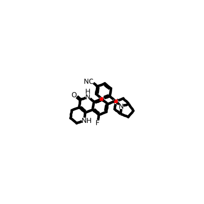 N#Cc1ccc(N2CC3CCC(C2)N3Cc2cc(F)c3c4c(c(=O)[nH]c3c2)CCCN4)nc1